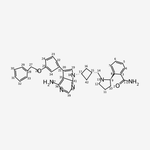 NC(=O)c1ccccc1[C@H]1CCCN1C[C@H]1C[C@@H](n2cc(-c3cccc(OCc4ccccc4)c3)c3c(N)ncnc32)C1